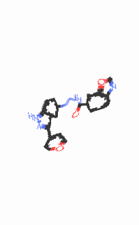 O=C(Nc1ccc2[nH]nc(-c3ccoc3)c2c1)c1ccc2ncoc2c1